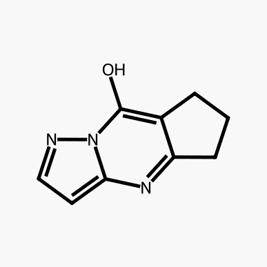 Oc1c2c(nc3ccnn13)CCC2